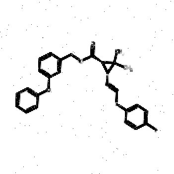 CC1(C)[C@H](C(=O)OCc2cccc(Oc3ccccc3)c2)[C@@H]1/C=C/Sc1ccc(F)cc1